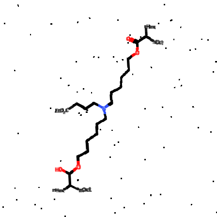 CCCCCCCCC(CCCCCC)C(=O)OCCCCCCN(CCCCCCOC(O)C(CCCCCC)CCCCCCCC)CCCC(=O)OCC